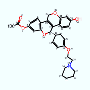 CC(C)(C)C(=O)Oc1ccc2c(c1)O[C@@H](C1C=CC(OCCN3CCCCC3)=CC1)C1=C2COc2cc(O)ccc21